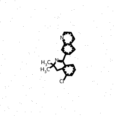 CC1(C)Cc2c(Cl)cccc2C(c2ccc3cccnc3c2)=N1